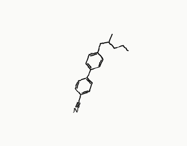 CCCC(C)Cc1ccc(-c2ccc(C#N)cc2)cc1